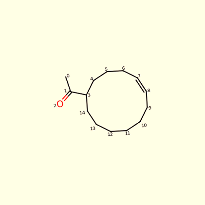 CC(=O)C1CCCC=CCCCCCC1